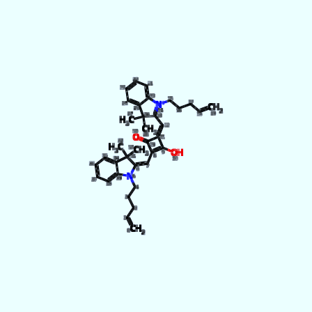 C=CCCCN1/C(=C/C2=C(O)C(=C/C3=[N+](CCCC=C)c4ccccc4C3(C)C)/C2=O)C(C)(C)c2ccccc21